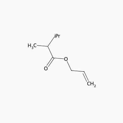 C=CCOC(=O)C(C)C(C)C